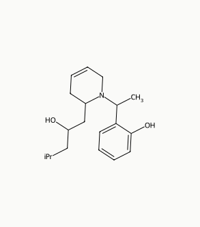 CC(C)CC(O)CC1CC=CCN1C(C)c1ccccc1O